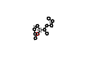 c1ccc(-c2ccc(-c3nc(-c4cc(-c5ccccc5)cc(-c5cccc(-c6cccc7c6sc6c(-c8ccccc8)cccc67)c5)c4)nc(-c4cccc5sc6ccc(-c7ccccc7)cc6c45)n3)cc2)cc1